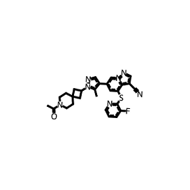 CC(=O)N1CCC2(CC1)CC(n1ncc(-c3cc(Sc4ncccc4F)c4c(C#N)cnn4c3)c1C)C2